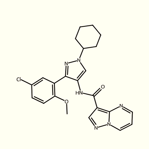 COc1ccc(Cl)cc1-c1nn(C2CCCCC2)cc1NC(=O)c1cnn2cccnc12